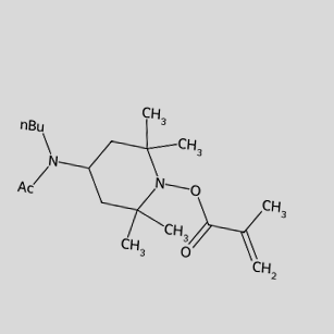 C=C(C)C(=O)ON1C(C)(C)CC(N(CCCC)C(C)=O)CC1(C)C